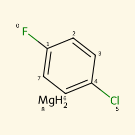 Fc1ccc(Cl)cc1.[MgH2]